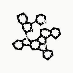 c1cncc(-c2nc(-n3c4ccccc4c4cc5c6ccccc6n6c7c8ccccc8ccc7c(c43)c56)cc3ccccc23)c1